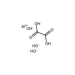 O=C(O)C(=O)O.[Al+3].[OH-].[OH-].[OH-]